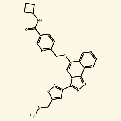 COCc1cc(-c2nnc3c4ccccc4c(OCc4ccc(C(=O)NC5CCC5)cn4)nn23)no1